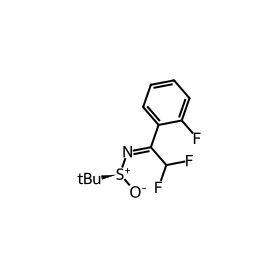 CC(C)(C)[S@+]([O-])/N=C(/c1ccccc1F)C(F)F